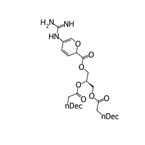 CCCCCCCCCCCC(=O)OC[C@H](COC(=O)C1C=CC(NC(=N)N)=CO1)OC(=O)CCCCCCCCCCC